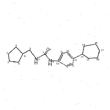 O=C(NCC1CCCC1)Nc1ccc(C2CCCCC2)cc1